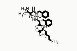 C[C@H](N)C(=O)NN(Cc1ccccc1)S(=O)(=O)N[C@H](Cc1ccccc1)C(=O)N[C@@H](CCCCN)C(N)=O